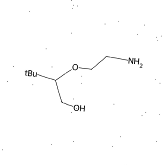 CC(C)(C)C(CO)OCCN